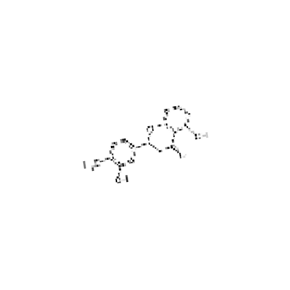 Cc1ccc(C2CC(=O)c3c(O)cccc3O2)cc1O